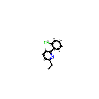 CCc1cccc(-c2ccccc2Cl)n1